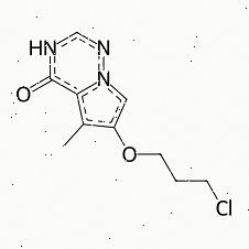 Cc1c(OCCCCl)cn2nc[nH]c(=O)c12